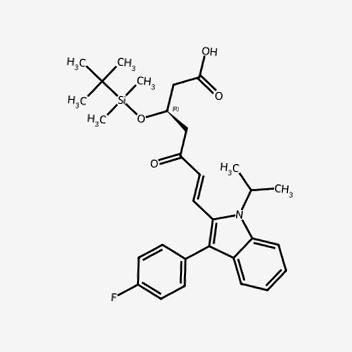 CC(C)n1c(C=CC(=O)C[C@H](CC(=O)O)O[Si](C)(C)C(C)(C)C)c(-c2ccc(F)cc2)c2ccccc21